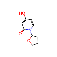 O=c1cc(O)ccn1C1CCCO1